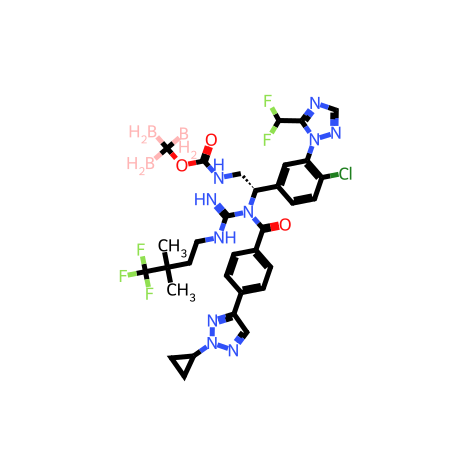 BC(B)(B)OC(=O)NC[C@H](c1ccc(Cl)c(-n2ncnc2C(F)F)c1)N(C(=N)NCCC(C)(C)C(F)(F)F)C(=O)c1ccc(-c2cnn(C3CC3)n2)cc1